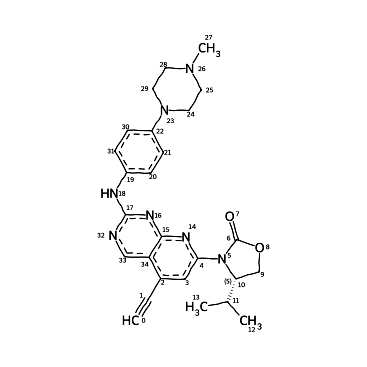 C#Cc1cc(N2C(=O)OC[C@@H]2C(C)C)nc2nc(Nc3ccc(N4CCN(C)CC4)cc3)ncc12